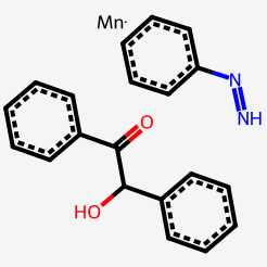 N=Nc1ccccc1.O=C(c1ccccc1)C(O)c1ccccc1.[Mn]